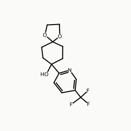 OC1(c2ccc(C(F)(F)F)cn2)CCC2(CC1)OCCO2